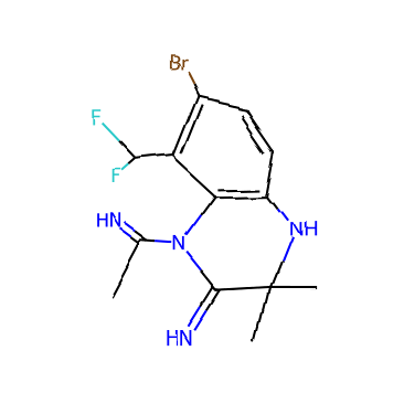 CC(=N)N1C(=N)C(C)(C)Nc2ccc(Br)c(C(F)F)c21